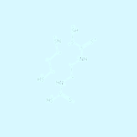 S=C(S)NCCNC(=S)SS.SCCCS